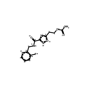 NC(=O)OCCc1nc(C(=O)NCc2ncccc2F)no1